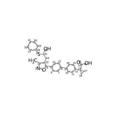 Cc1noc(-c2ccc(-c3ccc(C4(C(=O)O)CC4)cc3)cc2)c1CC(O)Sc1ccccc1